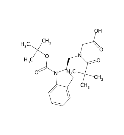 CC(C)(C)OC(=O)N1c2ccccc2C[C@@H]1CN(CC(=O)O)C(=O)C(C)(C)C